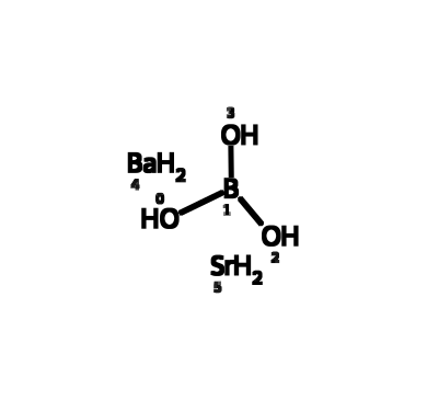 OB(O)O.[BaH2].[SrH2]